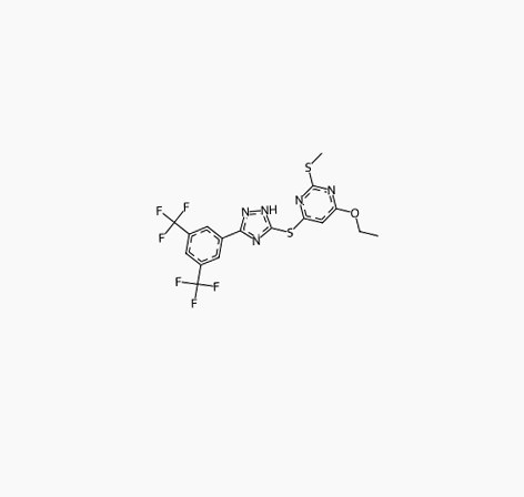 CCOc1cc(Sc2nc(-c3cc(C(F)(F)F)cc(C(F)(F)F)c3)n[nH]2)nc(SC)n1